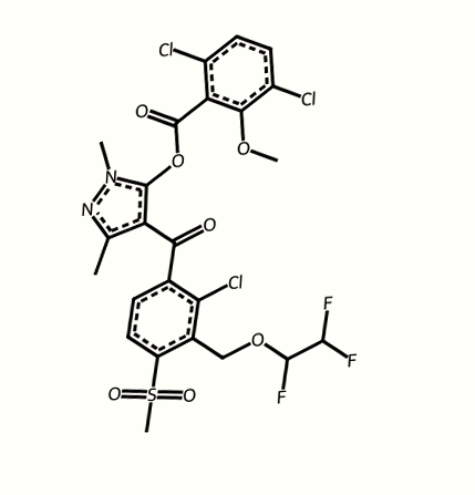 COc1c(Cl)ccc(Cl)c1C(=O)Oc1c(C(=O)c2ccc(S(C)(=O)=O)c(COC(F)C(F)F)c2Cl)c(C)nn1C